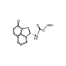 CC(C)(C)OC(=O)N[C@H]1Cn2c(=O)ccc3nccc1c32